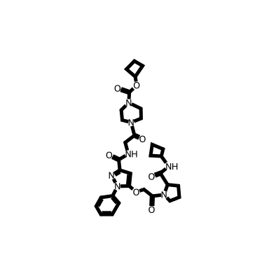 O=C(NCC(=O)N1CCN(C(=O)OC2CCC2)CC1)c1cc(OCC(=O)N2CCCC2C(=O)NC2CCC2)n(-c2ccccc2)n1